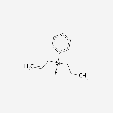 C=CC[Si](F)(CCC)c1ccccc1